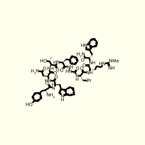 CNC(=N)NCCC[C@H](NC(=O)[C@H](CC(C)C)NC(=O)NNC(=O)[C@H](Cc1ccccc1)NC(=O)[C@@H](NC(=O)[C@H](CC(N)=O)NC(=O)[C@@H](Cc1c[nH]c2ccccc12)NC(=O)[C@H](N)Cc1ccc(O)cc1)[C@@H](C)O)C(=O)N[C@@H](Cc1c[nH]c2ccccc12)C(N)=O